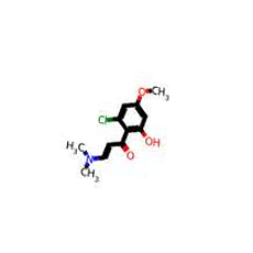 COc1cc(O)c(C(=O)C=CN(C)C)c(Cl)c1